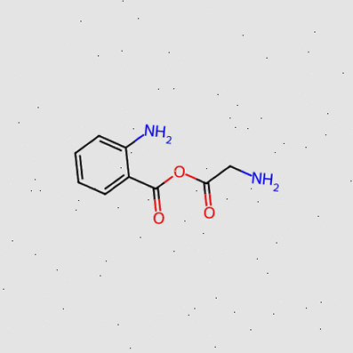 NCC(=O)OC(=O)c1ccccc1N